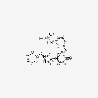 O=C(O)Nc1cccc(Cc2nn(-c3cnn(CC4CCOCC4)c3)ccc2=O)c1